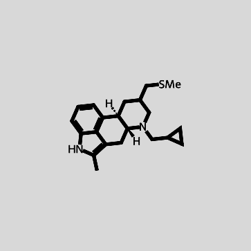 CSCC1C[C@@H]2c3cccc4[nH]c(C)c(c34)C[C@H]2N(CC2CC2)C1